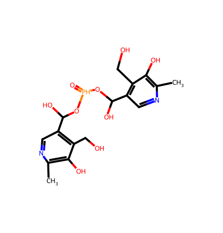 Cc1ncc(C(O)O[PH](=O)OC(O)c2cnc(C)c(O)c2CO)c(CO)c1O